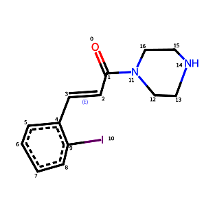 O=C(/C=C/c1ccccc1I)N1CCNCC1